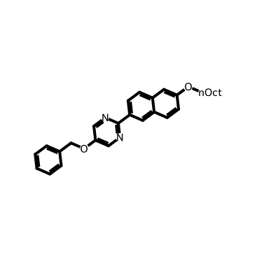 CCCCCCCCOc1ccc2cc(-c3ncc(OCc4ccccc4)cn3)ccc2c1